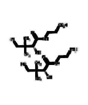 CC(C)(CO)[C@@H](O)C(=O)NCCC(=O)O.CC(C)(CO)[C@@H](O)C(=O)NCCC(=O)O